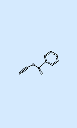 N#C[N]C(=O)c1ccccc1